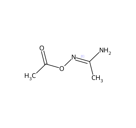 CC(=O)O/N=C(\C)N